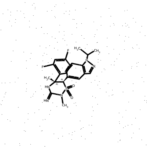 CC(C)n1ncc2cc([C@@H]3[C@@](C)(c4ccc(F)cc4F)NC(=N)N(C)S3(=O)=O)ccc21